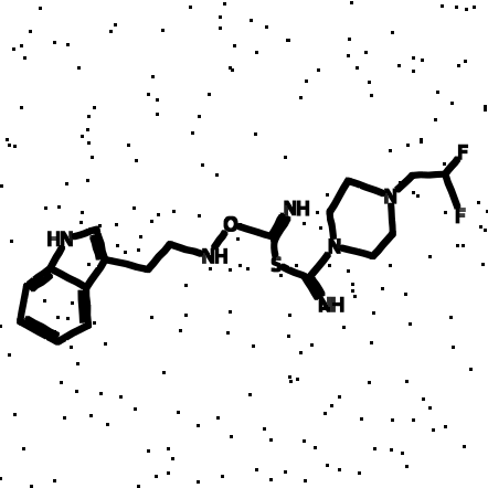 N=C(ONCCc1c[nH]c2ccccc12)SC(=N)N1CCN(CC(F)F)CC1